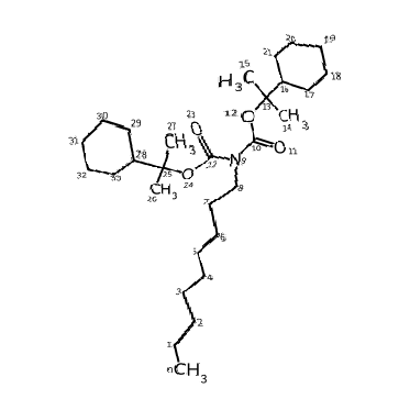 CCCCCCCCCN(C(=O)OC(C)(C)C1CCCCC1)C(=O)OC(C)(C)C1CCCCC1